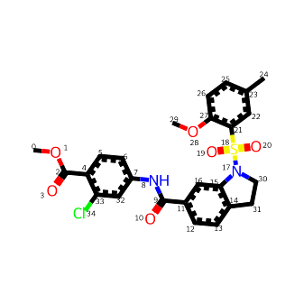 COC(=O)c1ccc(NC(=O)c2ccc3c(c2)N(S(=O)(=O)c2cc(C)ccc2OC)CC3)cc1Cl